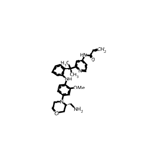 C=CC(=O)Nc1ccnc(C(C)(C)c2ccccc2Nc2ccc(N3CCOC[C@H]3CN)cc2OC)c1